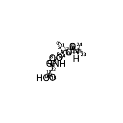 CCCC(C)(COC(=O)NC(=O)CCC(=O)O)COC(=O)NC(C)C